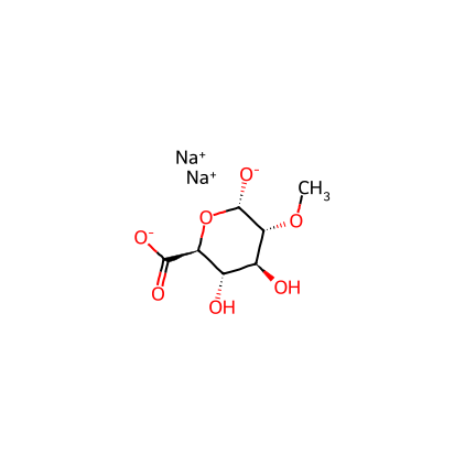 CO[C@@H]1[C@@H](O)[C@H](O)[C@@H](C(=O)[O-])O[C@@H]1[O-].[Na+].[Na+]